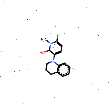 CN1C(Cl)=CC=C(N2CCCc3ccccc32)C1O